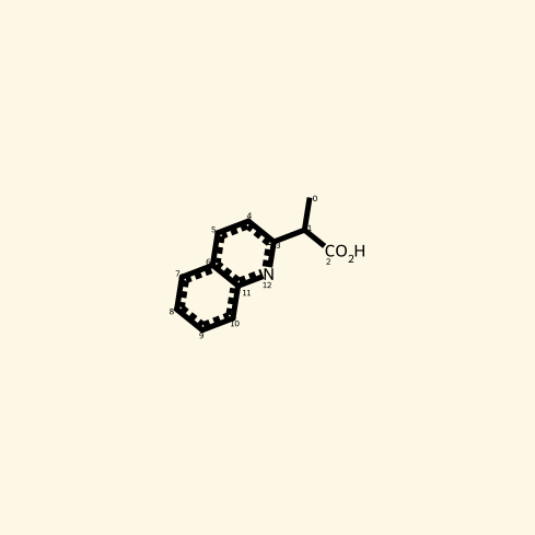 CC(C(=O)O)c1ccc2ccccc2n1